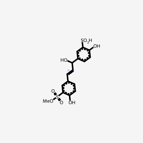 COS(=O)(=O)c1cc(/C=C/C(O)c2ccc(O)c(S(=O)(=O)O)c2)ccc1O